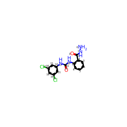 NNC(=O)c1ccccc1NC(=O)Nc1cc(Cl)cc(Cl)c1